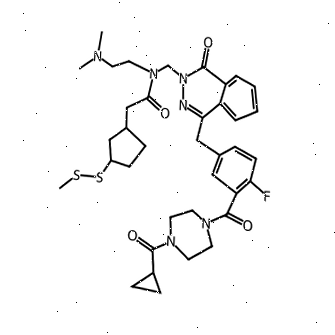 CSSC1CCC(CC(=O)N(CCN(C)C)Cn2nc(Cc3ccc(F)c(C(=O)N4CCN(C(=O)C5CC5)CC4)c3)c3ccccc3c2=O)C1